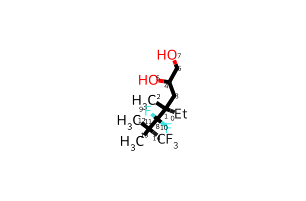 CCC(C)(CC(O)CO)C(F)(F)C(C)(C)C(F)(F)F